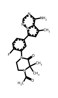 CC(=O)N1CCN(c2cc(-c3cc(C)c4c(N)ncnn34)ccc2F)C(=O)C1(C)C